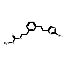 NNC(=O)NCCc1cccc(CCc2csc(N)n2)c1